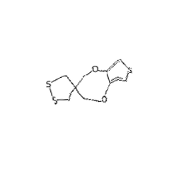 c1scc2c1OCC1(CO2)CSSC1